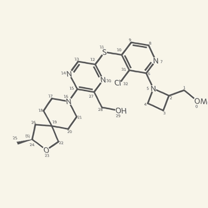 COCC1CCN1c1nccc(Sc2cnc(N3CCC4(CC3)CO[C@@H](C)C4)c(CO)n2)c1Cl